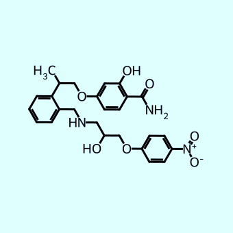 CC(COc1ccc(C(N)=O)c(O)c1)c1ccccc1CNCC(O)COc1ccc([N+](=O)[O-])cc1